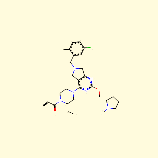 C=CC(=O)N1CCN(c2nc(OC[C@@H]3CCCN3C)nc3c2CN(Cc2cc(Cl)ccc2C)C3)C[C@@H]1CC#N